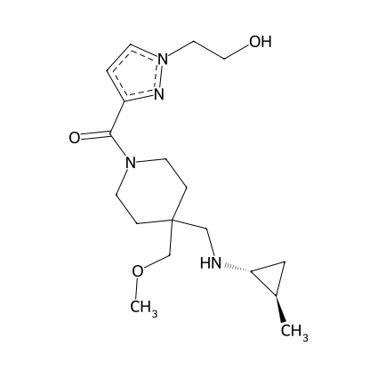 COCC1(CN[C@@H]2C[C@H]2C)CCN(C(=O)c2ccn(CCO)n2)CC1